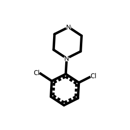 Clc1cccc(Cl)c1N1CC[N]CC1